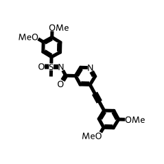 COc1cc(C#Cc2cncc(C(=O)N=S(C)(=O)c3ccc(OC)c(OC)c3)c2)cc(OC)c1